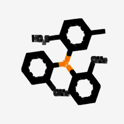 COc1ccccc1P(c1ccccc1OC)c1cc(C)ccc1S(=O)(=O)O